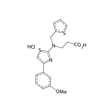 COc1cccc(-c2csc(N(CCC(=O)O)Cc3cccs3)n2)c1.Cl